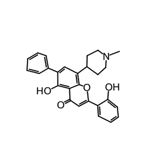 CN1CCC(c2cc(-c3ccccc3)c(O)c3c(=O)cc(-c4ccccc4O)oc23)CC1